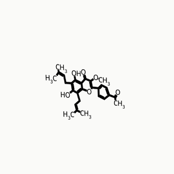 COc1c(-c2ccc(C(C)=O)cc2)oc2c(CC=C(C)C)c(O)c(CC=C(C)C)c(O)c2c1=O